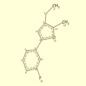 CCc1cc(-c2cccc(F)c2)oc1C